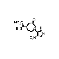 NN(C(=O)O)C1CCN(c2[nH]ncc2[N+](=O)[O-])CC(=O)C1